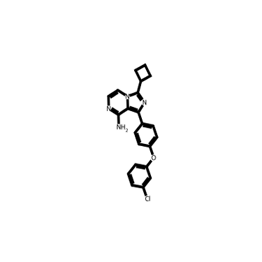 Nc1nccn2c(C3CCC3)nc(-c3ccc(Oc4cccc(Cl)c4)cc3)c12